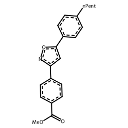 CCCCCc1ccc(-c2cc(-c3ccc(C(=O)OC)cc3)no2)cc1